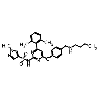 CCCCNCc1ccc(Oc2cc(-c3c(C)cccc3C)nc(NS(=O)(=O)c3cnn(C)c3)n2)cc1